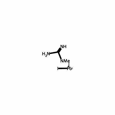 CNC(=N)N.[I][Pb][I]